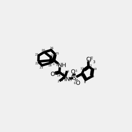 CC(C)(NS(=O)(=O)c1cccc(C(F)(F)F)c1)C(=O)NC1C2CC3CC(C2)CC1C3